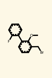 COc1c(CBr)cccc1-c1ccccc1F